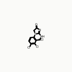 Cl.O=C1CN2C(=N1)NCc1c2ccc(Cl)c1Cl